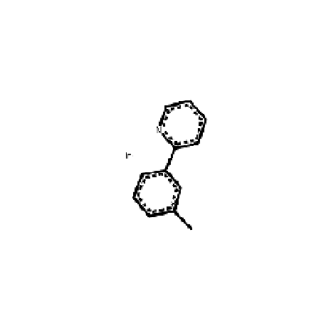 Cc1cccc(-c2ccccn2)c1.[Ir]